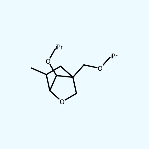 CC(C)OCC12COC(C(C)C1)C2OC(C)C